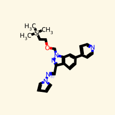 C[Si](C)(C)CCOCn1nc(/C=N/n2cccc2)c2ccc(-c3ccncc3)cc21